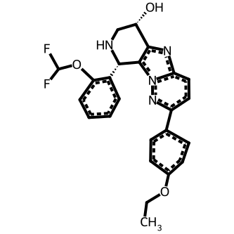 CCOc1ccc(-c2ccc3nc4c(n3n2)[C@H](c2ccccc2OC(F)F)NC[C@@H]4O)cc1